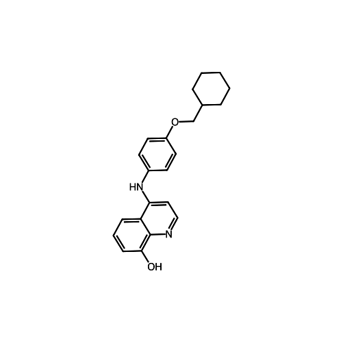 Oc1cccc2c(Nc3ccc(OCC4CCCCC4)cc3)ccnc12